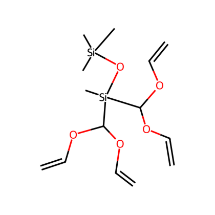 C=COC(OC=C)[Si](C)(O[Si](C)(C)C)C(OC=C)OC=C